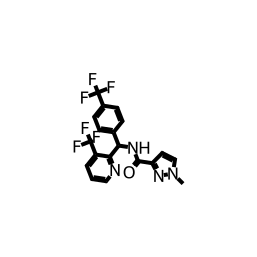 Cn1ccc(C(=O)NC(c2ccc(C(F)(F)F)cc2)c2ncccc2C(F)(F)F)n1